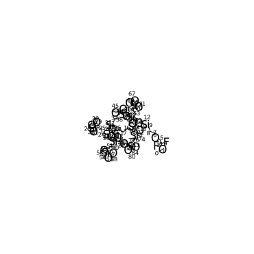 COC(F)(F)COCCC[Si](C)(C)O[Si](CCCC[Si](O[Si](C)(C)CC[Si](OC)(OC)OC)(O[Si](C)(C)CC[Si](OC)(OC)OC)O[Si](C)(C)CC[Si](OC)(OC)OC)(O[Si](C)(C)CC[Si](OC)(OC)OC)O[Si](C)(C)CC[Si](OC)(OC)OC